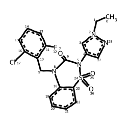 CCn1cc(N2C(=O)N(Cc3c(F)cccc3Cl)c3ccccc3S2(=O)=O)cn1